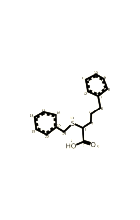 O=C(O)C(CCCc1ccccc1)SCc1ccccc1